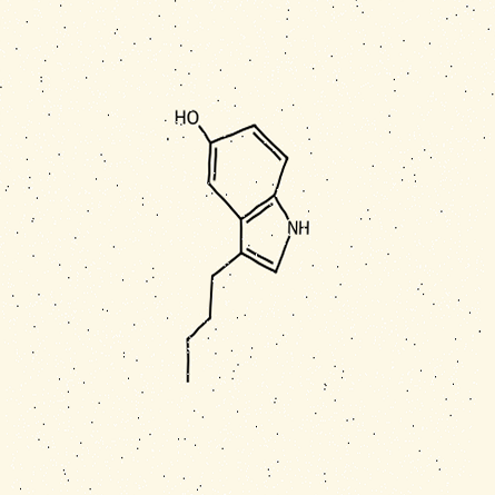 CCCCc1c[nH]c2ccc(O)cc12